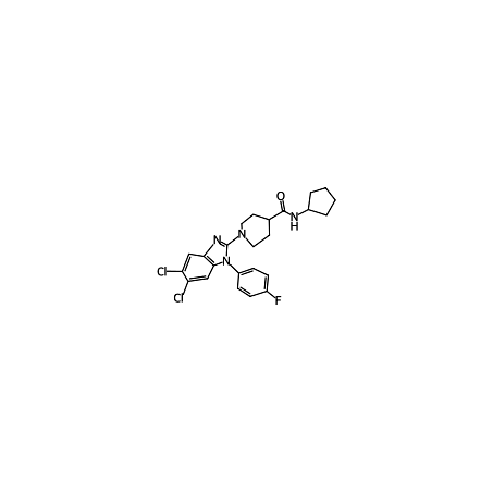 O=C(NC1CCCC1)C1CCN(c2nc3cc(Cl)c(Cl)cc3n2-c2ccc(F)cc2)CC1